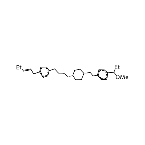 CC/C=C/Cc1ccc(CCCC[C@H]2CC[C@H](CCc3ccc(C(CC)OC)cc3)CC2)cc1